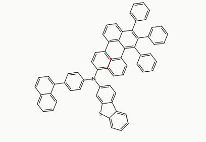 c1ccc(-c2c(-c3ccccc3)c(-c3ccccc3)c3c(-c4ccc(N(c5ccc(-c6cccc7ccccc67)cc5)c5ccc6c(c5)sc5ccccc56)cc4)cccc3c2-c2ccccc2)cc1